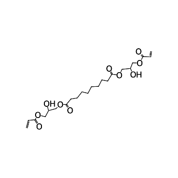 C=CC(=O)OCC(O)COC(=O)CCCCCCCCC(=O)OCC(O)COC(=O)C=C